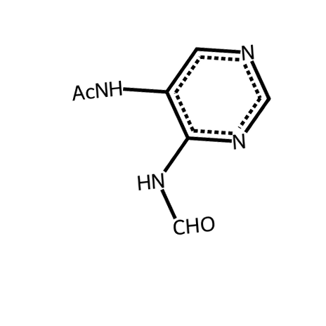 CC(=O)Nc1cncnc1NC=O